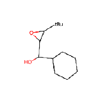 CC(C)(C)C1OC1C(O)C1CCCCC1